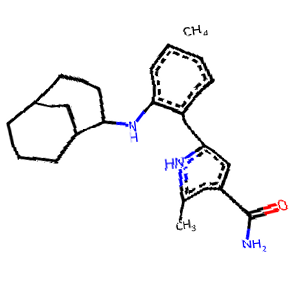 C.Cc1[nH]c(-c2ccccc2NC2CCC3CCCC2C3)cc1C(N)=O